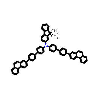 CC1(C)c2ccccc2-c2ccc(N(c3ccc(-c4ccc(-c5ccc6c(ccc7ccccc76)c5)cc4)cc3)c3ccc(-c4ccc(-c5ccc6c(ccc7ccccc76)c5)cc4)cc3)cc21